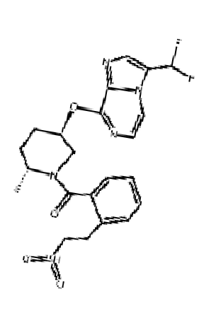 C[C@@H]1CC[C@@H](Oc2nccn3c(C(F)F)cnc23)CN1C(=O)c1ccccc1CC[SH](=O)=O